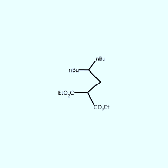 CCCCC(CCCC)CC(C(=O)OCC)C(=O)OCC